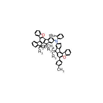 Cc1ccc(-c2cc3c(c4c2oc2ccccc24)-c2ccc(N(c4ccc5c(c4)C(C)(C)c4c6c(c7c(oc8ccccc87)c4-5)-c4ccccc4C6(C)C)c4ccccc4C(C)(C)C)cc2C3(C)C)cc1